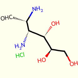 Cl.N[C@@H]([C@H](O)[C@H](O)CO)[C@@H](N)C=O